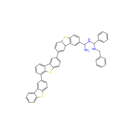 NC(NC(NCc1ccccc1)c1ccccc1)c1ccc2c(c1)C1C=C(c3ccc4sc5c(-c6ccc7sc8ccccc8c7c6)cccc5c4c3)C=CC1S2